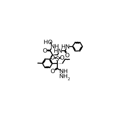 CCC[C@](C(=O)NN)(c1ccc(C)cc1[C@H](CNC(=O)Nc1ccccc1)C(=O)NO)S(C)(=O)=O